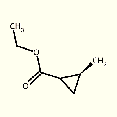 CCOC(=O)C1C[C@@H]1C